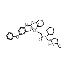 NC1=Nc2ccc(Oc3ccccc3)cc2CN1[C@@H](CCC(=O)N(C[C@@H]1CCC(=O)N1)C1CCCCC1)C1CCCCC1